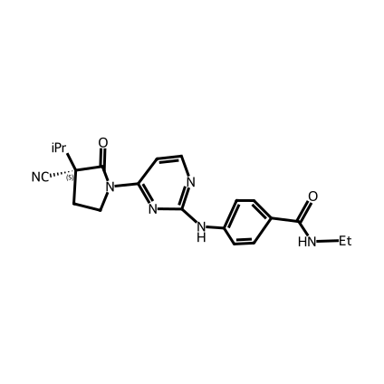 CCNC(=O)c1ccc(Nc2nccc(N3CC[C@@](C#N)(C(C)C)C3=O)n2)cc1